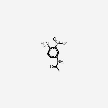 CC(=O)Nc1ccc(N)c([N+](=O)[O-])c1